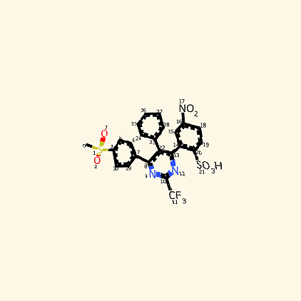 CS(=O)(=O)c1ccc(-c2nc(C(F)(F)F)nc(-c3cc([N+](=O)[O-])ccc3S(=O)(=O)O)c2-c2ccccc2)cc1